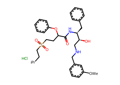 COc1cccc(CNC[C@H](O)[C@H](Cc2ccccc2)NC(=O)C(CCS(=O)(=O)CCC(C)C)Oc2ccccc2)c1.Cl